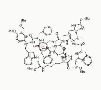 COC(=O)[C@H](COC(C)(C)C)NC(=O)[C@H](Cc1c[nH]c2ccccc12)NC(=O)[C@H](Cc1ccccc1)NC(=O)[C@H](Cc1ccccc1)NC(=O)[C@H](CC(N)=O)NC(=O)[C@](CCCCNC(=O)OC(C)(C)C)(NC(=O)[C@@H](NC(=O)[C@H](Cc1ccccc1)NC(=O)[C@@H](NC(=O)[C@@H](N)CCCCNC(=O)OC(C)(C)C)[C@@H](C)OC(C)(C)C)[C@@H](C)OC(C)(C)C)C(=O)OCc1ccccc1